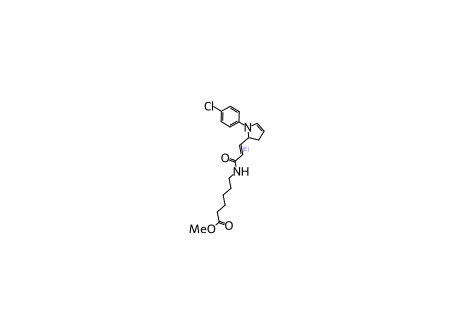 COC(=O)CCCCCNC(=O)/C=C/C1CC=CN1c1ccc(Cl)cc1